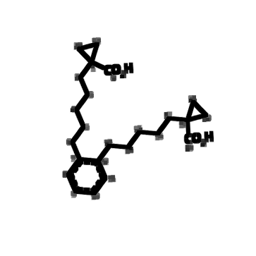 O=C(O)C1(CCCCCc2ccccc2CCCCCC2(C(=O)O)CC2)CC1